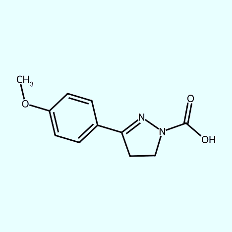 COc1ccc(C2=NN(C(=O)O)CC2)cc1